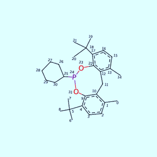 Cc1ccc(C(C)(C)C)c2c1Cc1c(C)ccc(C(C)(C)C)c1OP(C1CCCCC1)O2